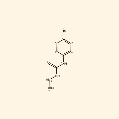 CCCCNNC(=O)Nc1ccc(Br)cc1